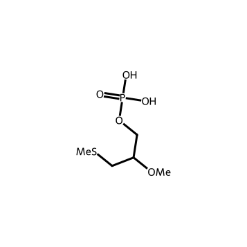 COC(COP(=O)(O)O)CSC